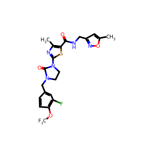 Cc1cc(CNC(=O)c2sc(N3CCN(Cc4ccc(OC(F)(F)F)c(F)c4)C3=O)nc2C)no1